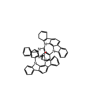 C1=Cc2c(n(-c3nc(-c4ccccc4)nc(-n4c5ccccc5c5ccc6c7ccccc7n(-c7ccccc7)c6c54)n3)c3c2ccc2c4ccccc4n(-c4ccccc4)c23)CC1